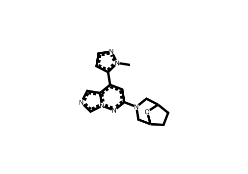 Cn1nccc1-c1cc(N2CC3CCC(C2)O3)nn2cncc12